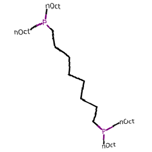 CCCCCCCCP(CCCCCCCC)CCCCCCCCP(CCCCCCCC)CCCCCCCC